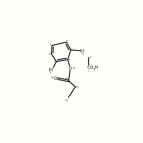 CC(=O)O.CCc1cccc(CC)c1OC(=O)CI